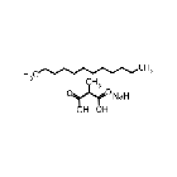 CC(C(=O)O)C(=O)O.CCCCCCCCCCCC.[NaH]